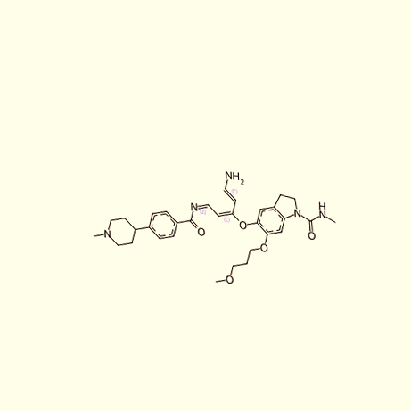 CNC(=O)N1CCc2cc(OC(/C=C/N)=C/C=N\C(=O)c3ccc(C4CCN(C)CC4)cc3)c(OCCCOC)cc21